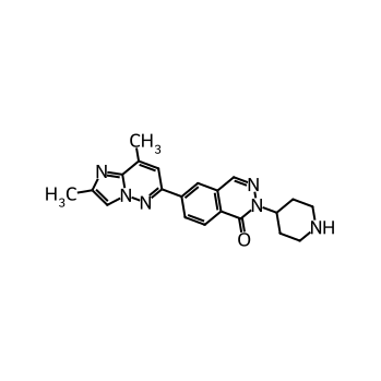 Cc1cn2nc(-c3ccc4c(=O)n(C5CCNCC5)ncc4c3)cc(C)c2n1